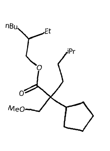 CCCCC(CC)COC(=O)C(CCC(C)C)(COC)C1CCCC1